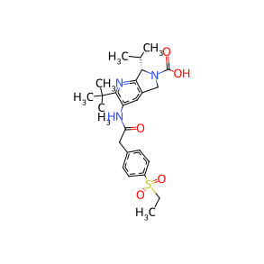 CCS(=O)(=O)c1ccc(CC(=O)Nc2cc3c(nc2C(C)(C)C)[C@H](C(C)C)N(C(=O)O)C3)cc1